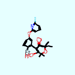 CCc1ccc(Oc2cccc(F)n2)cc1C1=C(O)C(C)(C)OC(C)(C)C1=O